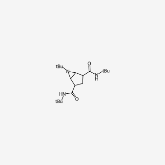 CC(C)(C)NC(=O)C1CC(C(=O)NC(C)(C)C)C2C1N2C(C)(C)C